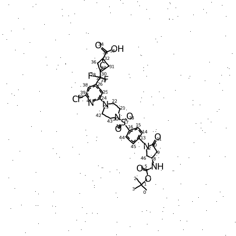 CC(C)(C)OC(=O)N[C@@H]1CC(=O)N(c2ccc(S(=O)(=O)N3CCN(c4cc(C(F)(F)C56CC(C(=O)O)(C5)C6)cc(Cl)n4)CC3)cc2)C1